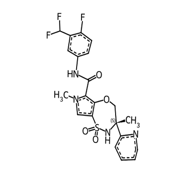 Cn1cc2c(c1C(=O)Nc1ccc(F)c(C(F)F)c1)OC[C@](C)(c1ccccn1)NS2(=O)=O